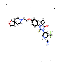 N#Cc1ncc(N2C(=O)C3(CCC3)N(c3ccc(OCCN4CCC5(CCOC5)CC4)cc3)C2=S)cc1C(F)(F)F